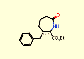 CCOC(=O)[C@@H]1NC(=O)CCC[C@@H]1Cc1ccccc1